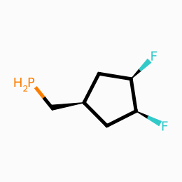 F[C@@H]1C[C@H](CP)C[C@@H]1F